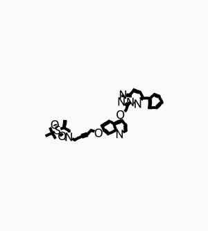 C=C(CN(C)CC#CCOc1ccc2c(OCc3nnc4ccc(-c5ccccc5)nn34)ccnc2c1)S(=O)(=O)C(C)(C)C